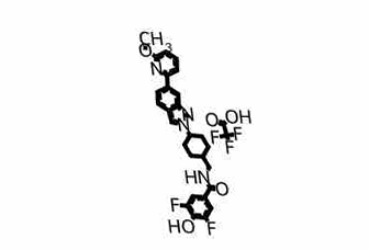 COc1cccc(-c2ccc3cn(C4CCC(CNC(=O)c5cc(F)c(O)c(F)c5)CC4)nc3c2)n1.O=C(O)C(F)(F)F